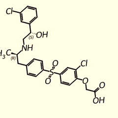 C[C@H](Cc1ccc(S(=O)(=O)c2ccc(OCC(=O)O)c(Cl)c2)cc1)NC[C@@H](O)c1cccc(Cl)c1